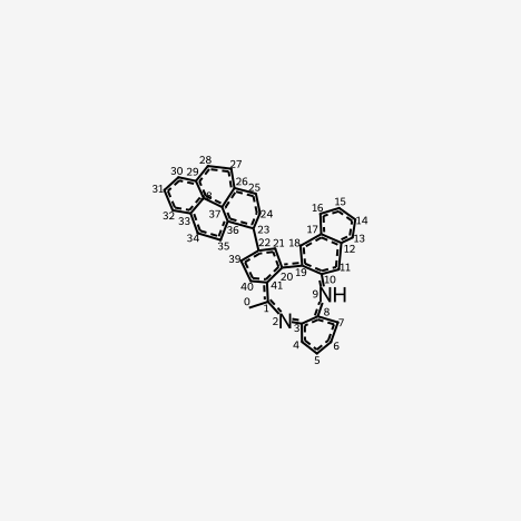 Cc1nc2ccccc2[nH]c2cc3ccccc3cc2c2cc(-c3ccc4ccc5cccc6ccc3c4c56)ccc12